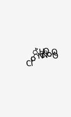 COC(=O)c1ccc2c(c1)OC[C@@H]1CN(CC3=C(c4ccc(Cl)cc4)CCC4(CC4)C3)CCN21